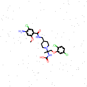 COc1cc(N)c(Cl)cc1C(=O)NCC1CCN(C(C)(COc2cc(Cl)ccc2Cl)NC(=O)O)CC1